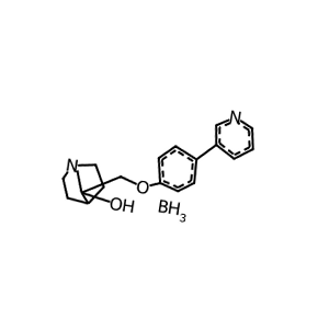 B.OC1(COc2ccc(-c3cccnc3)cc2)CN2CCC1CC2